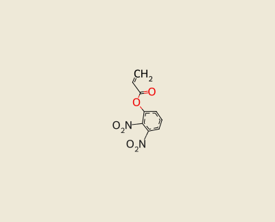 C=CC(=O)Oc1cccc([N+](=O)[O-])c1[N+](=O)[O-]